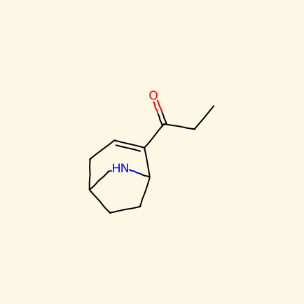 CCC(=O)C1=CCC2CCC1NC2